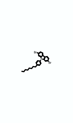 CCCCCCCCc1ccc(-p2c3cc(Br)ccc3c3ccc(Br)cc32)cc1